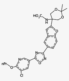 CCCOc1ncc(-c2nc(-c3ccc4oc(C5(NC(=O)O)COC(C)(C)OC5)cc4c3)no2)cc1Cl